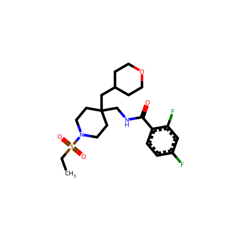 CCS(=O)(=O)N1CCC(CNC(=O)c2ccc(F)cc2F)(CC2CCOCC2)CC1